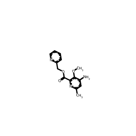 COc1c(N)cc(C)nc1C(=O)OCc1ccccn1